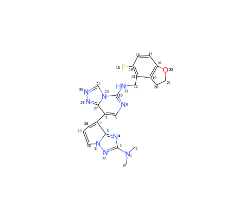 CN(C)c1nc2c(-c3cnc(NCc4c(F)ccc5c4CCO5)n4cnnc34)cccn2n1